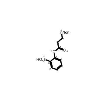 CCCCCCCCCCCC(=O)Oc1ccccc1S(=O)(=O)O